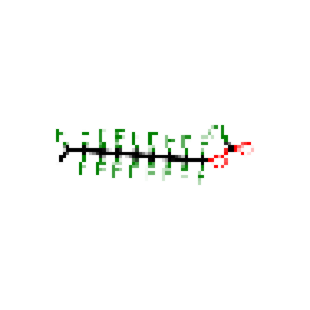 CC(F)C(F)(F)C(F)(F)C(F)(F)C(F)(F)C(F)(F)C(F)(F)C(F)(F)C(F)(F)OC(=O)Cl